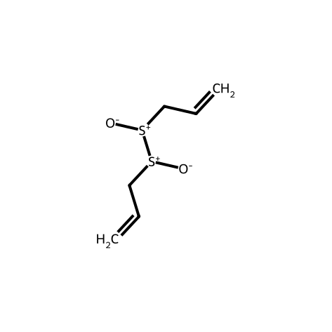 C=CC[S+]([O-])[S+]([O-])CC=C